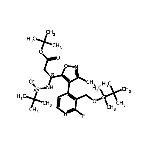 Cc1noc([C@H](CC(=O)OC(C)(C)C)N[S@+]([O-])C(C)(C)C)c1-c1ccnc(F)c1CO[Si](C)(C)C(C)(C)C